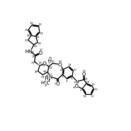 CN1C(=O)c2cc(-n3oc4ccccc4c3=O)ccc2OC[C@@H]2O[C@H](CC(=O)NC3Cc4ccccc4C3)CC[C@@H]21